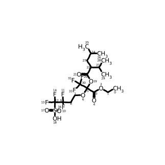 CCOC(=O)C(OCCC(F)(F)C(F)(F)S(=O)(=O)O)(OC(=O)C(CC(C)C)C(C)C)C(F)(F)F